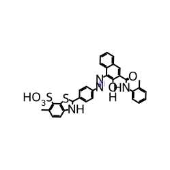 Cc1ccccc1NC(=O)c1cc2ccccc2c(/N=N/c2ccc(C3Nc4ccc(C)c(S(=O)(=O)O)c4S3)cc2)c1O